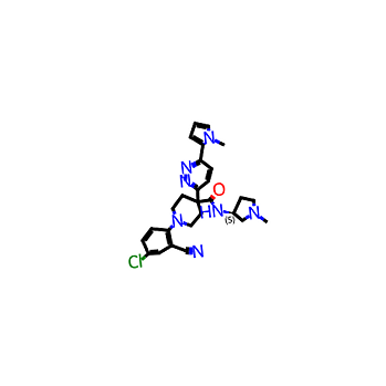 CN1CC[C@H](NC(=O)C2(c3ccc(-c4cccn4C)nn3)CCN(c3ccc(Cl)cc3C#N)CC2)C1